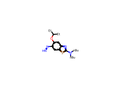 CCCCN(CCCC)c1nc2cc(OC(CC)CC)c(N=N)cc2s1